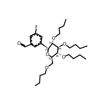 CCCCOC[C@H]1O[C@@H](c2cc(F)cc(C=O)c2)[C@H](OCCCC)[C@@H](OCCCC)[C@@H]1OCCCC